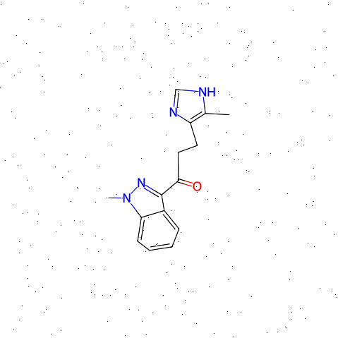 Cc1[nH]cnc1CCC(=O)c1nn(C)c2ccccc12